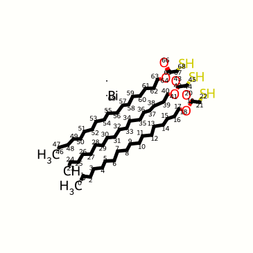 CCCCCCCCCCCCCCCCCCOC(=O)CS.CCCCCCCCCCCCCCCCCCOC(=O)CS.CCCCCCCCCCCCCCCCCCOC(=O)CS.[Bi]